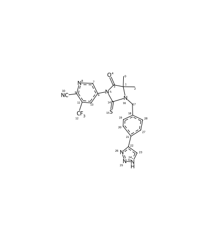 CC1(C)C(=O)N(c2cnc(C#N)c(C(F)(F)F)c2)C(=S)N1Cc1ccc(-c2c[nH]nn2)cc1